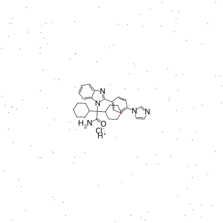 NC(=O)C(C1CCCCC1)(C1CCCCC1)n1c(-c2ccc(-n3ccnc3)cc2)nc2ccccc21.[Cl-].[H+]